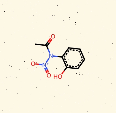 CC(=O)N(c1ccccc1O)[N+](=O)[O-]